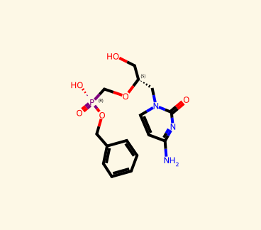 Nc1ccn(C[C@@H](CO)OC[P@@](=O)(O)OCc2ccccc2)c(=O)n1